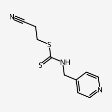 N#CCCSC(=S)NCc1ccncc1